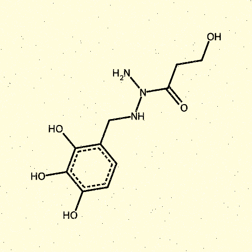 NN(NCc1ccc(O)c(O)c1O)C(=O)CCO